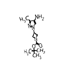 Cc1nn(C2CN(C(=O)OC(C)(C)C)C2)cc1N